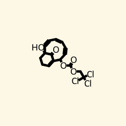 O=C(OCC(Cl)(Cl)Cl)OC1C#CC=CC#CC2(O)CCC=C1C2=O